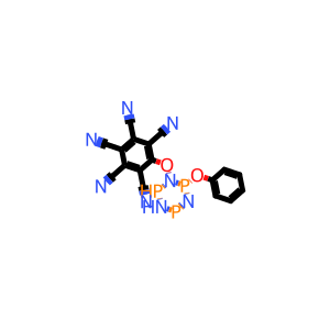 N#Cc1c(C#N)c(C#N)c(On2[pH][nH]pnp2Oc2ccccc2)c(C#N)c1C#N